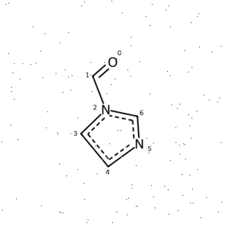 O=Cn1ccnc1